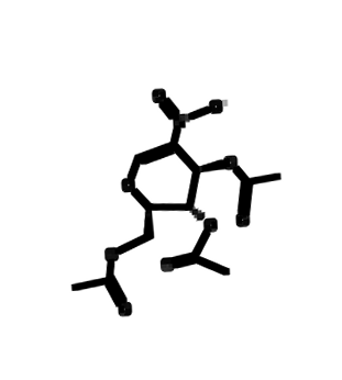 CC(=O)OC[C@H]1OC=C([N+](=O)[O-])[C@@H](OC(C)=O)[C@@H]1OC(C)=O